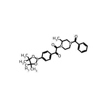 CC1CN(C(=O)c2ccccc2)CCN1C(=O)C(=O)c1ccc(B2OC(C)(C)C(C)(C)O2)cc1